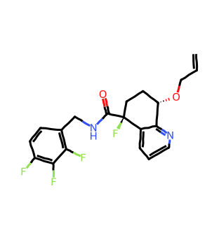 C=CCO[C@H]1CC[C@@](F)(C(=O)NCc2ccc(F)c(F)c2F)c2cccnc21